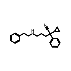 N#CC(CCCNCCc1ccccc1)(c1ccccc1)C1CC1